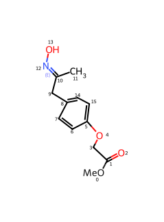 COC(=O)COc1ccc(C/C(C)=N/O)cc1